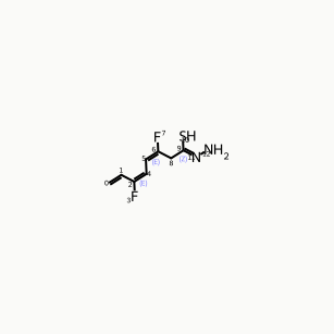 C=C/C(F)=C\C=C(\F)C/C(S)=N/N